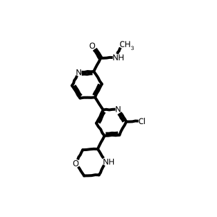 CNC(=O)c1cc(-c2cc(C3COCCN3)cc(Cl)n2)ccn1